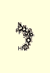 N#Cc1ncc(N2C(=O)C3(CCC3)N(c3ccc(CN4CCNCC4)cc3)C2=S)cc1C(F)(F)F